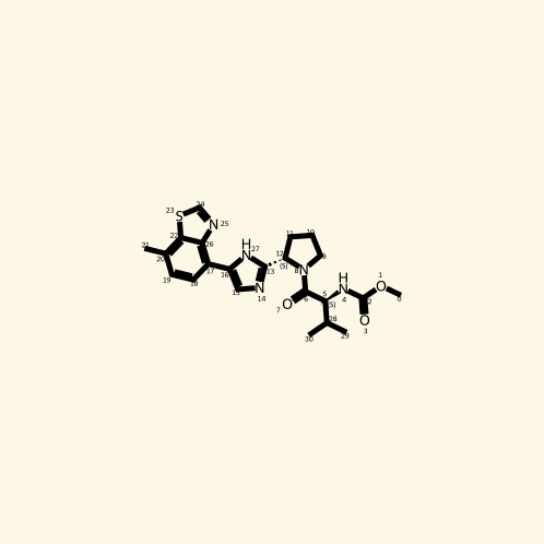 COC(=O)N[C@H](C(=O)N1CCC[C@H]1c1ncc(-c2ccc(C)c3scnc23)[nH]1)C(C)C